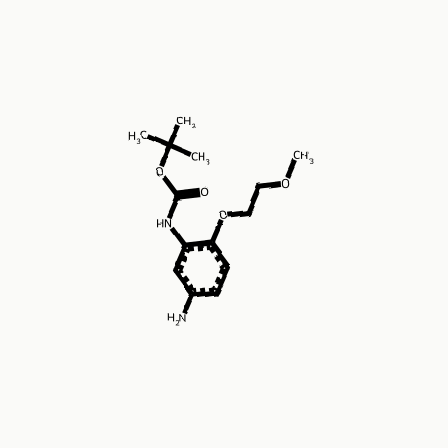 COCCOc1ccc(N)cc1NC(=O)OC(C)(C)C